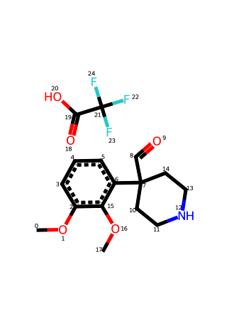 COc1cccc(C2(C=O)CCNCC2)c1OC.O=C(O)C(F)(F)F